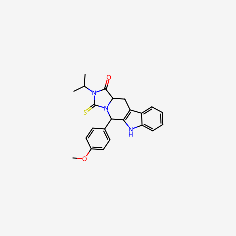 COc1ccc(C2c3[nH]c4ccccc4c3CC3C(=O)N(C(C)C)C(=S)N32)cc1